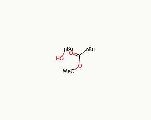 CCCCC(=O)OOC.CCCCO